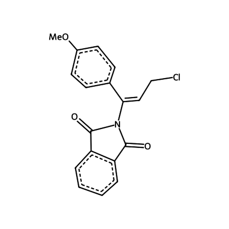 COc1ccc(/C(=C\CCl)N2C(=O)c3ccccc3C2=O)cc1